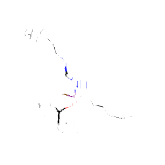 CCCCSP(=S)(NC=NCCC)OC(C)C